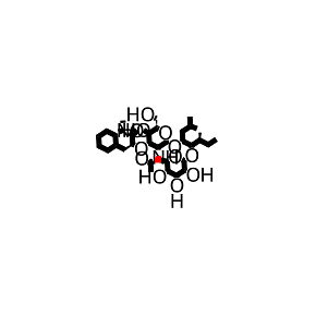 CC[C@H](C)C(OC1OC(C)C(O)C(O)C1O)C(CC(C)C)O[C@@H]1O[C@@H](CO)C(O)C(O[C@@H](CC2CCCCC2)C(=O)N(C)C)C1NC(C)=O